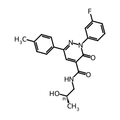 Cc1ccc(-c2cc(C(=O)NC[C@@H](C)O)c(=O)n(-c3cccc(F)c3)n2)cc1